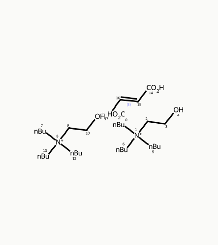 CCCC[N+](CCO)(CCCC)CCCC.CCCC[N+](CCO)(CCCC)CCCC.O=C(O)/C=C/C(=O)O